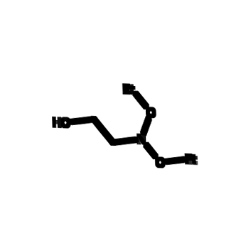 CCON(CCO)OCC